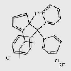 CCC(C)C1=CC=C[C]1([Ti+3])C(c1ccccc1)(c1ccccc1)c1ccccc1.[Cl-].[Cl-].[Cl-]